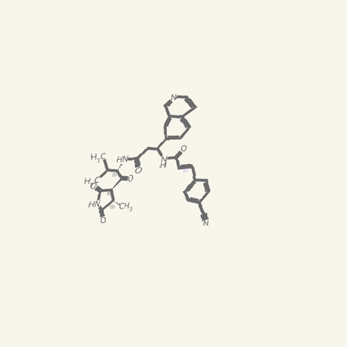 CC(C)[C@H](NC(=O)CC(NC(=O)/C=C/c1ccc(C#N)cc1)c1ccc2ccncc2c1)C(=O)[C@@H]1C(=O)NC(=O)[C@H]1C